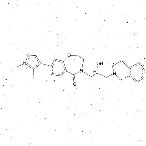 Cc1c(-c2ccc3c(c2)OCCN(C[C@H](O)CN2CCc4ccccc4C2)C3=O)cnn1C